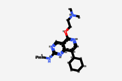 CCCC(C)Nc1ncc2c(OCCN(C)C)ncc(C3CCCCC3)c2n1